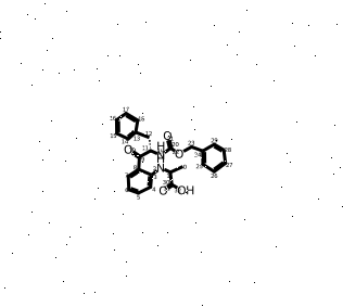 CC(Nc1ccccc1C(=O)[C@H](Cc1ccccc1)NC(=O)OCc1ccccc1)C(=O)O